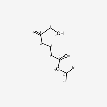 C=C(CO)CCCC(=O)OC(C)C